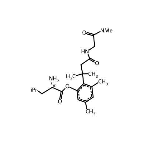 CNC(=O)CNC(=O)CC(C)(C)c1c(C)cc(C)cc1OC(=O)[C@@H](N)CC(C)C